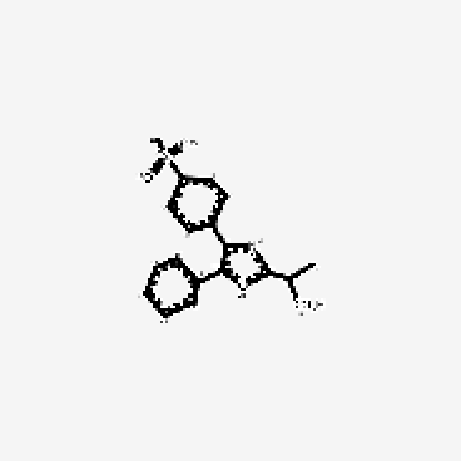 CC(C(=O)O)c1nc(-c2ccc(S(C)(=O)=O)cc2)c(-c2ccccc2)o1